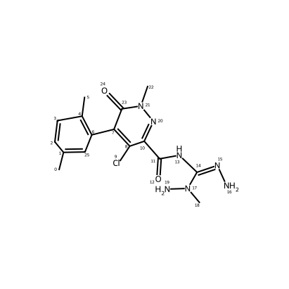 Cc1ccc(C)c(-c2c(Cl)c(C(=O)N/C(=N/N)N(C)N)nn(C)c2=O)c1